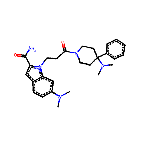 CN(C)c1ccc2cc(C(N)=O)n(CCC(=O)N3CCC(c4ccccc4)(N(C)C)CC3)c2c1